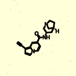 C#Cc1ccn2ccc(C(=O)N[C@@H]3C[C@@H]4CCN(C4)C3)cc12